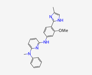 COc1cc(Nc2cccc(N(C)c3ccccc3)n2)ccc1-c1nc(C)c[nH]1